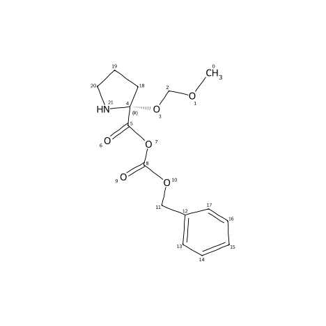 COCO[C@@]1(C(=O)OC(=O)OCc2ccccc2)CCCN1